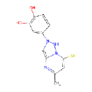 CC1=NC2=CN(c3ccc(O)c(O)c3)NN2C(S)=C1